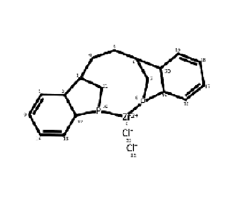 C1=CC2C3CCC4C[P]([Zr+2][P](C3)C2C=C1)C1C=CC=CC41.[Cl-].[Cl-]